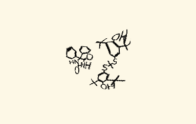 CC(C)(Sc1cc(C(C)(C)C)c(O)c(C(C)(C)C)c1)Sc1cc(C(C)(C)C)c(O)c(C(C)(C)C)c1.O=C1NC(=O)C(c2ccccc2)(c2ccccc2)N1